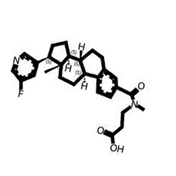 CN(CCC(=O)O)C(=O)c1ccc2c(c1)CC[C@@H]1[C@@H]2CC[C@]2(C)[C@@H](c3cncc(F)c3)CC[C@@H]12